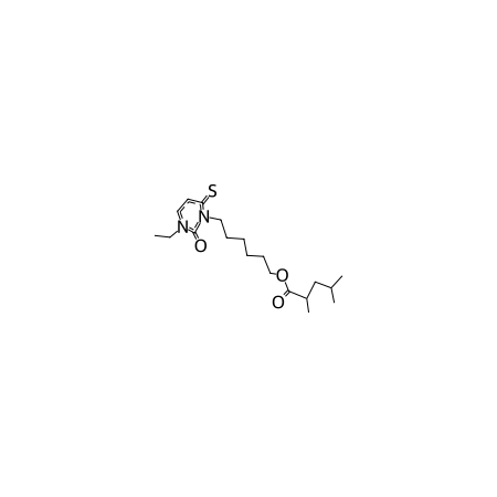 CCn1ccc(=S)n(CCCCCCOC(=O)C(C)CC(C)C)c1=O